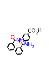 NC(=O)c1ccccc1.NC(=O)c1ccccc1.O=C(O)c1ccccc1